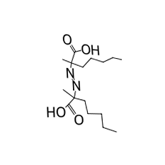 CCCCCC(C)(N=NC(C)(CCCCC)C(=O)O)C(=O)O